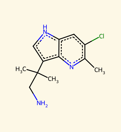 Cc1nc2c(C(C)(C)CN)c[nH]c2cc1Cl